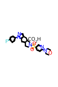 O=C(O)[C@]12Cc3cnn(-c4ccc(F)cc4)c3C=C1CCN(S(=O)(=O)c1ccc(N3CCOCC3)nc1)C2